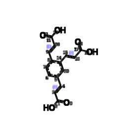 O=C(O)/C=C/c1ccc(/C=C/C(=O)O)c(/C=C/C(=O)O)c1